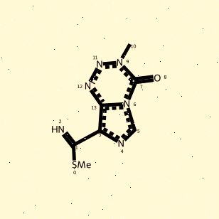 CSC(=N)c1ncn2c(=O)n(C)nnc12